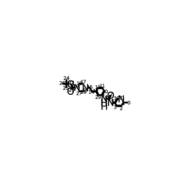 Cc1ccc(NC(=O)Nc2cccc(CCN3CCN(C(=O)OC(C)(C)C)CC3)c2)cn1